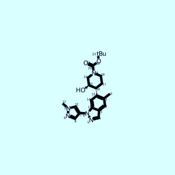 Cc1cc2cnn(-c3cnn(C)c3)c2cc1[C@H]1CCN(C(=O)OC(C)(C)C)C[C@@H]1O